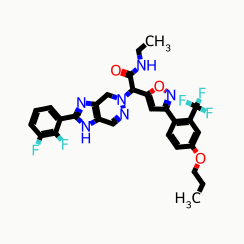 CCCOc1ccc(-c2cc(C(C(=O)NCC)N3Cc4nc(-c5cccc(F)c5F)[nH]c4C=N3)on2)c(C(F)(F)F)c1